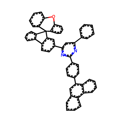 c1ccc(-c2cc(-c3ccc4c(c3)C3(c5ccccc5Oc5ccccc53)c3ccccc3-4)nc(-c3ccc(-c4cc5ccccc5c5ccccc45)cc3)n2)cc1